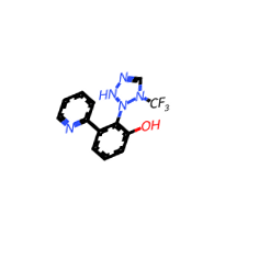 Oc1cccc(-c2ccccn2)c1N1NN=CN1C(F)(F)F